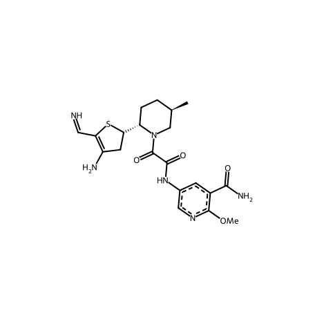 COc1ncc(NC(=O)C(=O)N2C[C@H](C)CC[C@H]2C2CC(N)=C(C=N)S2)cc1C(N)=O